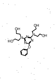 OCCN(CCO)c1nc(Oc2ccccc2)nc(N(CCO)CCO)n1